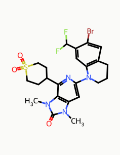 Cn1c(=O)n(C)c2c(C3CCS(=O)(=O)CC3)nc(N3CCCc4cc(Br)c(C(F)F)cc43)cc21